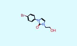 O=c1n(CCO)ccn1-c1ccc(Br)cc1